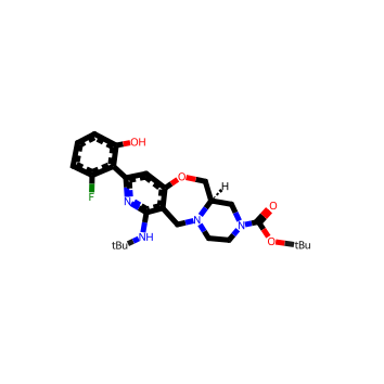 CC(C)(C)Nc1nc(-c2c(O)cccc2F)cc2c1CN1CCN(C(=O)OC(C)(C)C)C[C@@H]1CO2